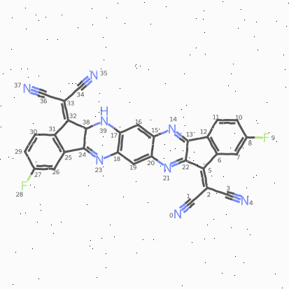 N#CC(C#N)=C1c2cc(F)ccc2-c2nc3cc4c(cc3nc21)N=C1c2cc(F)ccc2C(=C(C#N)C#N)C1N4